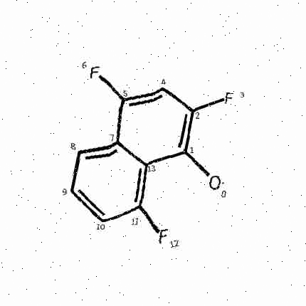 [O]c1c(F)cc(F)c2cccc(F)c12